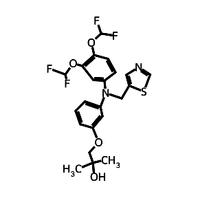 CC(C)(O)COc1cccc(N(Cc2cncs2)c2ccc(OC(F)F)c(OC(F)F)c2)c1